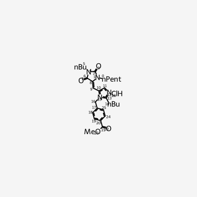 CCCCCN1C(=O)N(CCCC)C(=O)/C1=C/c1cnc(CCCC)n1Cc1ccc(C(=O)OC)cc1.Cl